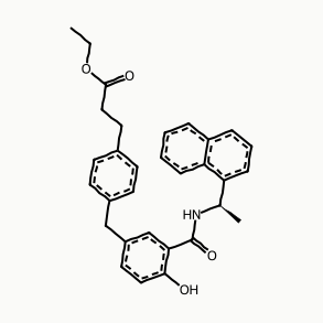 CCOC(=O)CCc1ccc(Cc2ccc(O)c(C(=O)N[C@H](C)c3cccc4ccccc34)c2)cc1